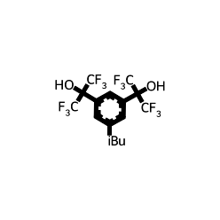 CCC(C)c1cc(C(O)(C(F)(F)F)C(F)(F)F)cc(C(O)(C(F)(F)F)C(F)(F)F)c1